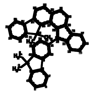 CC1(C)c2ccccc2-c2cc(-n3c4ccccc4c4ccc5ccc6c(c5c43)C(C)(C)c3ccccc3-6)ccc21